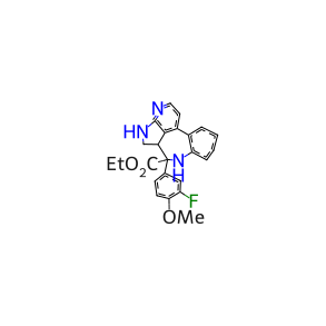 CCOC(=O)C1(c2ccc(OC)c(F)c2)Nc2ccccc2-c2ccnc3c2C1CN3